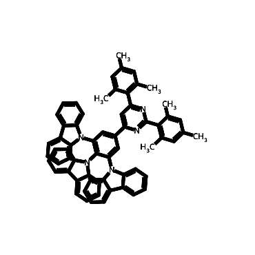 Cc1cc(C)c(-c2cc(-c3cc(-n4c5ccccc5c5ccccc54)c(-n4c5ccccc5c5ccccc54)c(-n4c5ccccc5c5ccccc54)c3)nc(-c3c(C)cc(C)cc3C)n2)c(C)c1